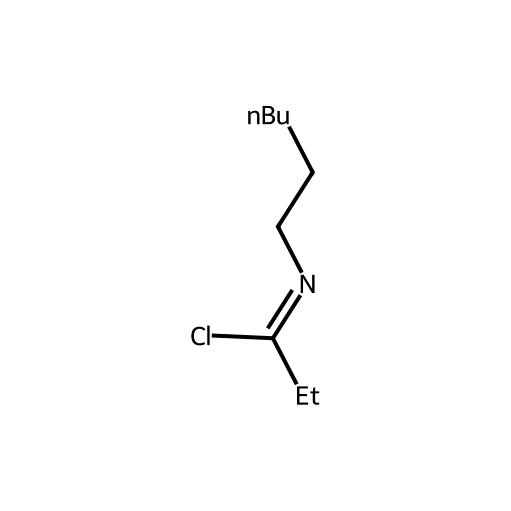 CCCCCCN=C(Cl)CC